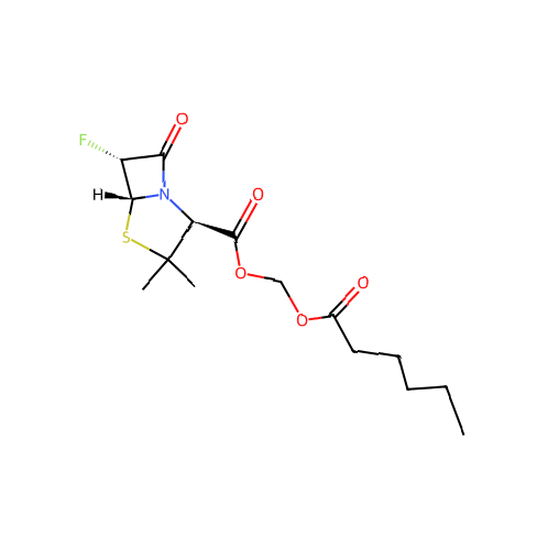 CCCCCC(=O)OCOC(=O)[C@@H]1N2C(=O)[C@@H](F)[C@H]2SC1(C)C